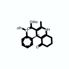 CCCOc1ccccc1[C@H]1C(C(=O)OC)=C(C)NC2=C1C(=O)CCC2